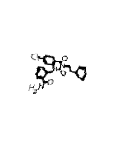 NC(=O)c1ccccc1Cn1c(=O)n(CCc2ccccc2)c(=O)c2ccc(Cl)cc21